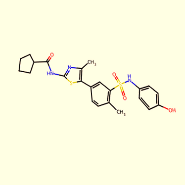 Cc1ccc(-c2sc(NC(=O)C3CCCC3)nc2C)cc1S(=O)(=O)Nc1ccc(O)cc1